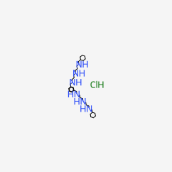 Cl.c1cc(CNCCCNCCCNCC2CCCCC2)cc(CNCCCNCCCNCC2CCCCC2)c1